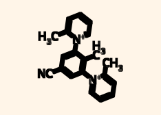 Cc1c(-[n+]2ccccc2C)cc(C#N)cc1-[n+]1ccccc1C